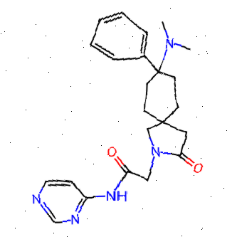 CN(C)C1(c2ccccc2)CCC2(CC1)CC(=O)N(CC(=O)Nc1ccncn1)C2